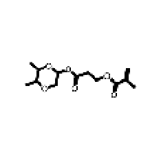 C=C(C)C(=O)OCCC(=O)OC1COC(C)C(C)O1